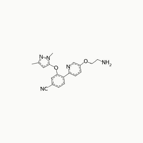 Cc1cc(Oc2cc(C#N)ccc2-c2ccc(OCCN)cn2)n(C)n1